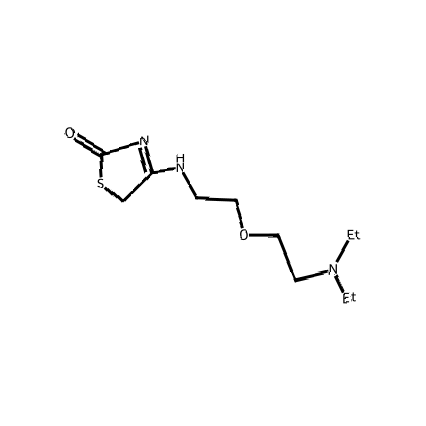 CCN(CC)CCOCCNC1=NC(=O)SC1